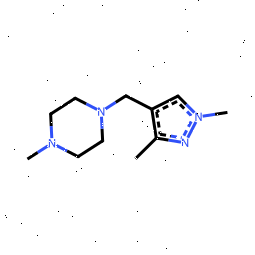 Cc1nn(C)cc1CN1CCN(C)CC1